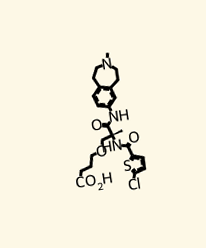 CN1CCc2ccc(NC(=O)[C@@](C)(COCCCC(=O)O)NC(=O)c3ccc(Cl)s3)cc2CC1